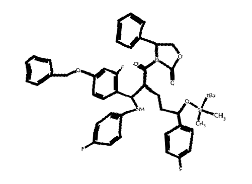 CC(C)(C)[Si](C)(C)OC(CCC(C(=O)N1C(=O)OCC1c1ccccc1)C(Nc1ccc(F)cc1)c1ccc(OCc2ccccc2)cc1F)c1ccc(F)cc1